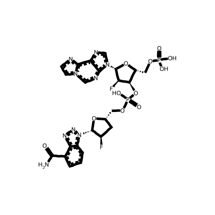 NC(=O)c1cccc2c1nnn2[C@@H]1O[C@H](COP(=O)(O)O[C@H]2[C@@H](F)[C@H](n3cnc4c3ncn3ccnc43)O[C@@H]2COP(=O)(O)O)C[C@H]1F